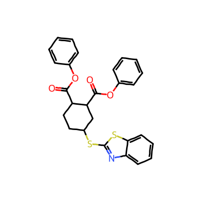 O=C(Oc1ccccc1)C1CCC(Sc2nc3ccccc3s2)CC1C(=O)Oc1ccccc1